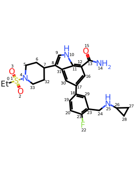 CCS(=O)(=O)N1CCC(c2c[nH]c3c(C(N)=O)cc(-c4ccc(F)c(CNC5CC5)c4)cc23)CC1